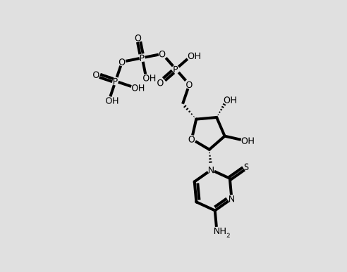 Nc1ccn([C@@H]2O[C@H](COP(=O)(O)OP(=O)(O)OP(=O)(O)O)[C@H](O)C2O)c(=S)n1